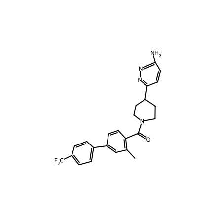 Cc1cc(-c2ccc(C(F)(F)F)cc2)ccc1C(=O)N1CCC(c2ccc(N)nn2)CC1